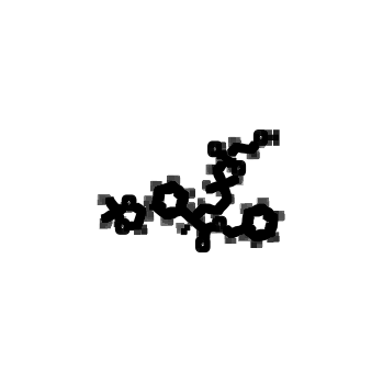 CC(C)(CCC[C@@](C)(C(=O)OCc1ccccc1)c1cccc([C@@H]2COC(C)(C)O2)c1)CS(=O)(=O)CCO